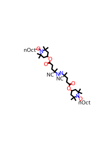 CCCCCCCCON1C(C)(C)CC(OC(=O)CCC(C)(C#N)/N=N/C(C)(C#N)CCC(=O)OC2CC(C)(C)N(OCCCCCCCC)C(C)(C)C2)CC1(C)C